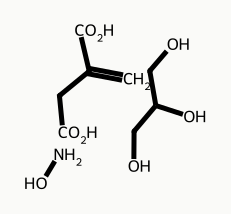 C=C(CC(=O)O)C(=O)O.NO.OCC(O)CO